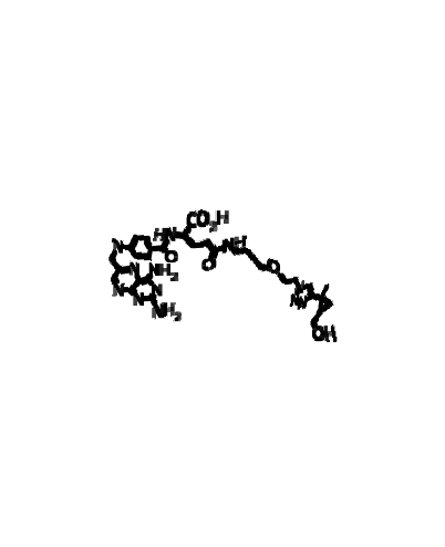 CN(Cc1cnc2nc(N)nc(N)c2n1)c1ccc(C(=O)NC(CCC(=O)NCCCOCCn2cc(C3(C)CC3CO)nn2)C(=O)O)cc1